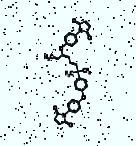 C=C/C(=C\C=C\C(c1ccc(Oc2ccc(N3C(=O)C=CC3=O)cc2)cc1)(C(F)(F)F)C(F)(F)F)Oc1ccc(N2C(=O)C=CC2=O)cc1